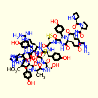 C[C@H](NC(=O)[C@H]1CCCN1C(=O)[C@H](CCN)NC(=O)[C@H](CCCNC(=N)N)NC(=O)[C@H](Cc1ccc(O)cc1)NC(=O)[C@H](CS)NC(=O)[C@H](Cc1ccc(O)cc1)NC(=O)[C@H](CCC(N)=O)NC(=O)[C@H](CCCCN)NC(=O)[C@H]1CCCN1C(=O)[C@@H]1CCCN1)C(=O)N[C@@H](CO)C(=O)N[C@@H](CS)C(=O)N[C@@H](Cc1ccc(O)cc1)C(=O)N[C@@H](Cc1c[nH]cn1)C(=O)N[C@@H](Cc1ccc(O)cc1)C(=O)O